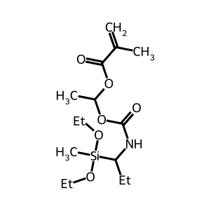 C=C(C)C(=O)OC(C)OC(=O)NC(CC)[Si](C)(OCC)OCC